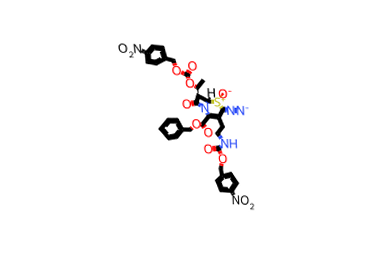 CC(OC(=O)OCc1ccc([N+](=O)[O-])cc1)[C@H]1C(=O)N2C(C(=O)OCc3ccccc3)=C(CCNC(=O)OCc3ccc([N+](=O)[O-])cc3)C(=[N+]=[N-])[S@+]([O-])[C@@H]12